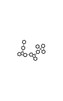 c1ccc(-c2ccc(-n3c4ccccc4c4ccc(-c5ccc6c(c5)c5ccccc5n6-c5ccc(C6(c7ccccc7)c7ccccc7-c7ccccc76)cc5)cc43)cc2)cc1